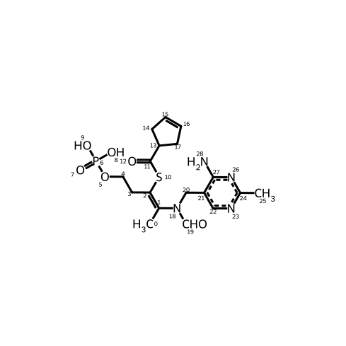 CC(=C(CCOP(=O)(O)O)SC(=O)C1CC=CC1)N(C=O)Cc1cnc(C)nc1N